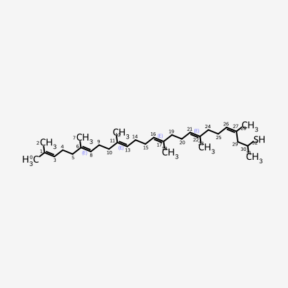 CC(C)=CCC/C(C)=C/CC/C(C)=C/CC/C=C(\C)CC/C=C(\C)CCC=C(C)CC(C)S